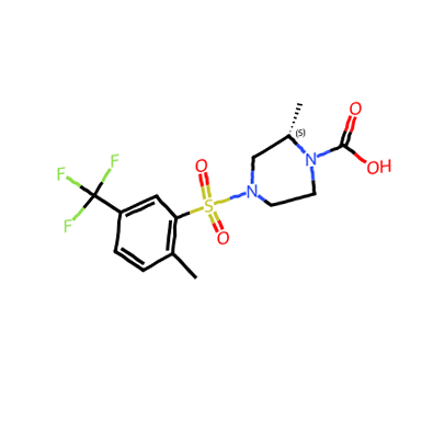 Cc1ccc(C(F)(F)F)cc1S(=O)(=O)N1CCN(C(=O)O)[C@@H](C)C1